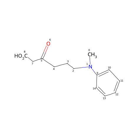 CN(CCCC(=O)CC(=O)O)c1ccccc1